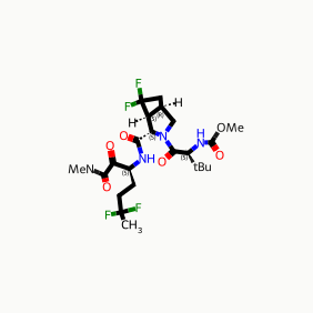 CNC(=O)C(=O)[C@H](CCC(C)(F)F)NC(=O)[C@@H]1[C@@H]2[C@H](CN1C(=O)[C@@H](NC(=O)OC)C(C)(C)C)CC2(F)F